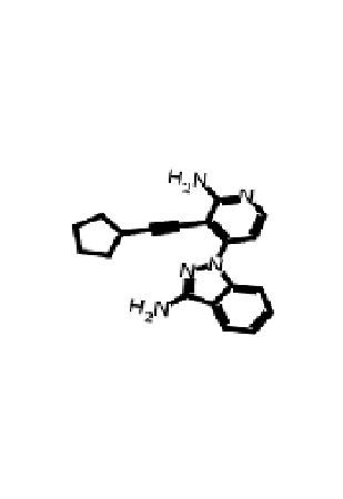 Nc1nccc(-n2nc(N)c3ccccc32)c1C#CC1CCCC1